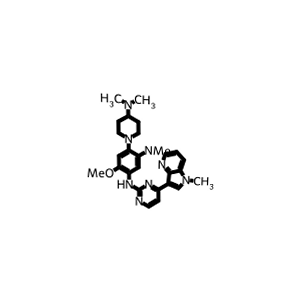 CNc1cc(Nc2nccc(-c3cn(C)c4cccnc34)n2)c(OC)cc1N1CCC(N(C)C)CC1